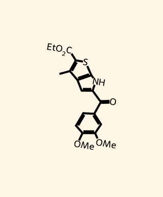 CCOC(=O)c1sc2[nH]c(C(=O)c3ccc(OC)c(OC)c3)cc2c1C